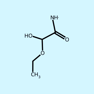 CCOC(O)C([NH])=O